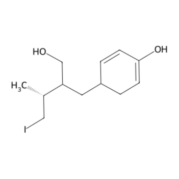 C[C@@H](CI)C(CO)CC1C=CC(O)=CC1